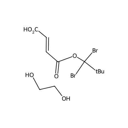 CC(C)(C)C(Br)(Br)OC(=O)/C=C/C(=O)O.OCCO